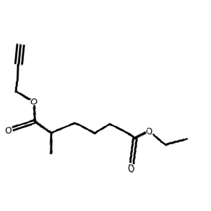 C#CCOC(=O)C(C)CCCC(=O)OCC